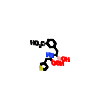 O=C(Cc1ccsc1)NC(Cc1cccc(C(=O)O)c1)B(O)O